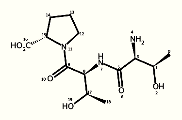 C[C@@H](O)[C@H](N)C(=O)N[C@H](C(=O)N1CCC[C@H]1C(=O)O)[C@@H](C)O